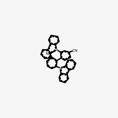 N#Cc1ccc(-c2c(C#N)cccc2-n2c3ccccc3c3ccccc32)c(-n2c3ccccc3c3ccccc32)c1